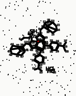 CC[CH2][Zr]([CH3])(=[SiH2])([CH]1C(CC2C3CC4CC(C3)CC2C4)=Cc2c(-c3ccc(C(C)C)cc3)cccc21)[CH]1C(CC2C3CC4CC(C3)CC2C4)=Cc2c(-c3ccc(C(C)C)cc3)cccc21.Cl.Cl